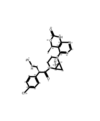 CC(C)NC[C@@H](C(=O)N1CCN(c2ncnc3c2[C@@H](C)OC(=O)N3)[C@H]2C[C@H]21)c1ccc(Cl)cc1